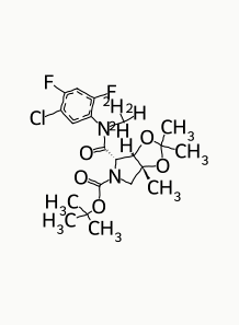 [2H]C([2H])([2H])N(C(=O)[C@@H]1[C@@H]2OC(C)(C)O[C@]2(C)CN1C(=O)OC(C)(C)C)c1cc(Cl)c(F)cc1F